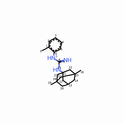 Cc1ccccc1NC(=N)NC12CC3CC(C)(CC(C)(C3)C1)C2